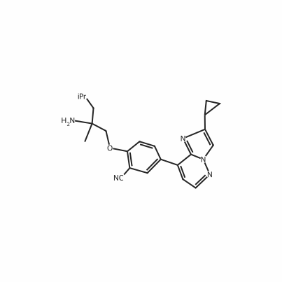 CC(C)CC(C)(N)COc1ccc(-c2ccnn3cc(C4CC4)nc23)cc1C#N